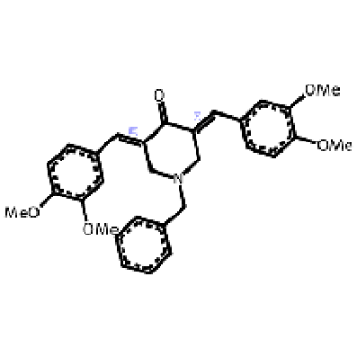 COc1ccc(/C=C2\CN(Cc3ccccc3)C/C(=C\c3ccc(OC)c(OC)c3)C2=O)cc1OC